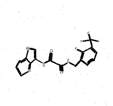 O=C(NCc1cccc(C(F)(F)F)c1F)C(=O)Nc1c[nH]c2cccnc12